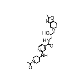 CC(=O)N1CCC(Nc2cc(C(=O)NCC(O)CN3CCc4oc(C)nc4C3)ccn2)CC1